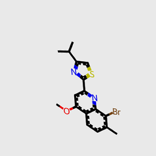 COc1cc(-c2nc(C(C)C)cs2)nc2c(Br)c(C)ccc12